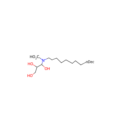 CCCCCCCCCCCCCCCCCCN(C(=O)O)C(O)C(O)CO